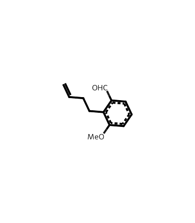 C=CCCc1c(C=O)cccc1OC